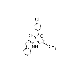 CCCCOC(c1ccc(Cl)cc1)C(Cl)C(C)C(=O)Nc1ccccc1Cl